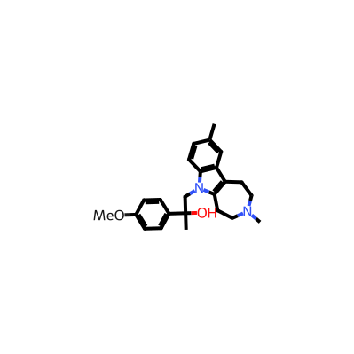 COc1ccc(C(C)(O)Cn2c3c(c4cc(C)ccc42)CCN(C)CC3)cc1